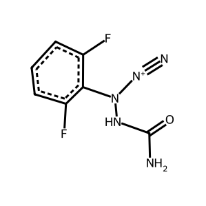 N#[N+]N(NC(N)=O)c1c(F)cccc1F